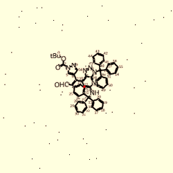 CC(C)(C)OC(=O)n1cc(/C(=C\C=O)c2cc(NC(c3ccccc3)(c3ccccc3)c3ccccc3)nc3c2nnn3C(c2ccccc2)(c2ccccc2)c2ccccc2)cn1